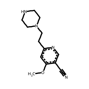 COc1cc(CCN2CCNCC2)ncc1C#N